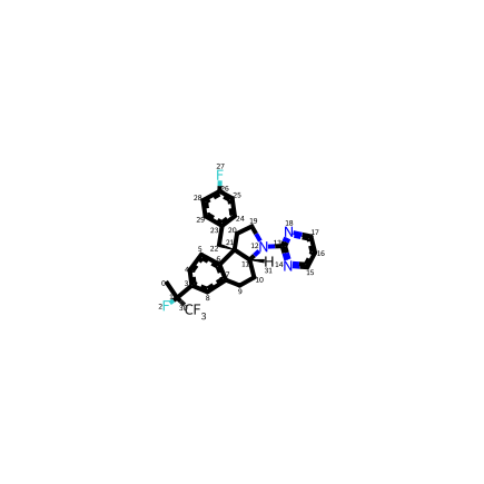 CC(F)(c1ccc2c(c1)CC[C@H]1N(c3ncccn3)CC[C@@]21Cc1ccc(F)cc1)C(F)(F)F